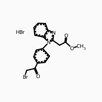 Br.COC(=O)Cc1nc2ccccc2n1-c1ccc(C(=O)CBr)cc1